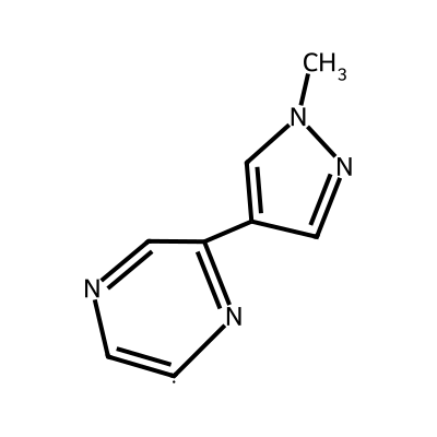 Cn1cc(-c2cnc[c]n2)cn1